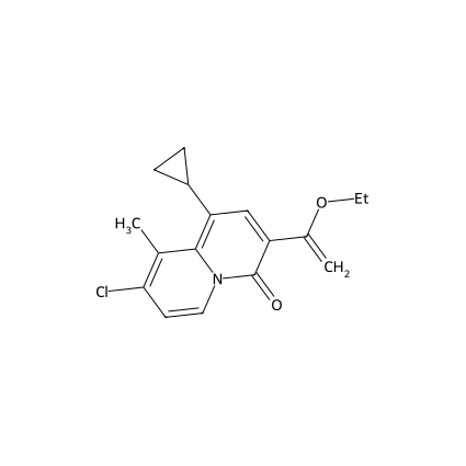 C=C(OCC)c1cc(C2CC2)c2c(C)c(Cl)ccn2c1=O